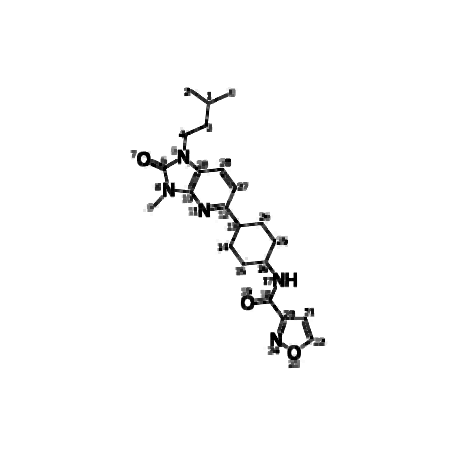 CC(C)CCn1c(=O)n(C)c2nc(C3CCC(NC(=O)c4ccon4)CC3)ccc21